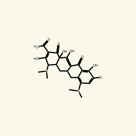 CCc1cc(N(C)C)c2c(c1O)C(=O)C1=C(O)C3(O)C(=O)C(C(N)=O)=C(O)C(N(C)C)C3CC1C2